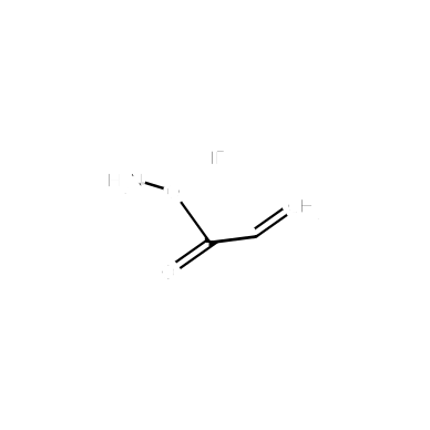 C=CC(=O)ON.F